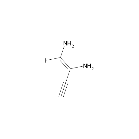 C#C/C(N)=C(/N)I